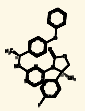 C[C@H](Nc1nccc(N2C(=O)OC[C@@]2(C)c2ccc(F)cc2)n1)c1ccc(Oc2ccccc2)cc1